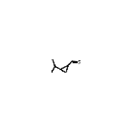 CC(C)C1C[C]1C=S